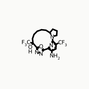 Nc1cc(C(F)(F)F)c2nc1-c1nnc(o1)C(O)(C(F)(F)F)CCCCCC1CCCN21